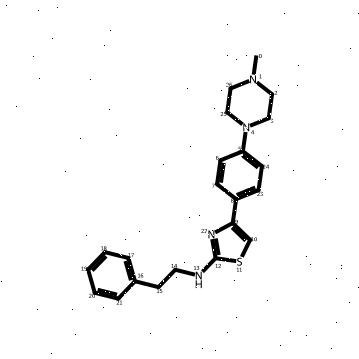 CN1CCN(c2ccc(-c3csc(NCCc4ccccc4)n3)cc2)CC1